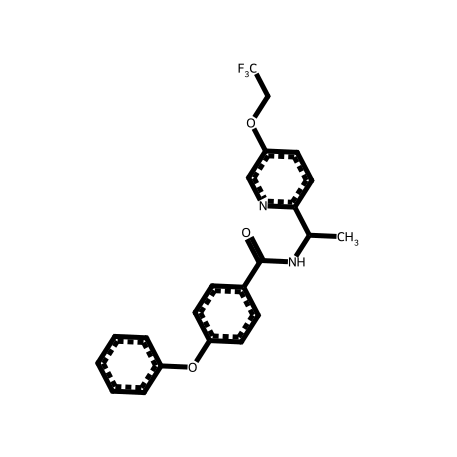 CC(NC(=O)c1ccc(Oc2ccccc2)cc1)c1ccc(OCC(F)(F)F)cn1